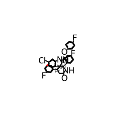 O=C1C[C@@H](c2cccc(F)c2)[C@]2(C(=O)Nc3cc(Cl)ccc32)[C@@H](c2ccc(F)c(Oc3ccc(F)cc3)c2)N1